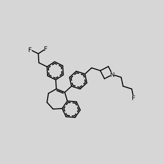 FCCCN1CC(Cc2ccc(C3=C(c4cccc(CC(F)F)c4)CCCc4ccccc43)cc2)C1